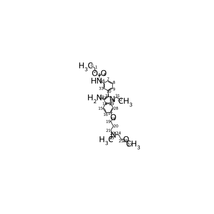 CCOC(=O)Nc1cccc(-c2c(N)c3ccc(OCCCN(C)CCOC)cc3n2CC)c1